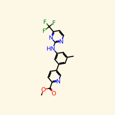 COC(=O)c1ccc(-c2cc(C)cc(Nc3nccc(C(F)(F)F)n3)c2)cn1